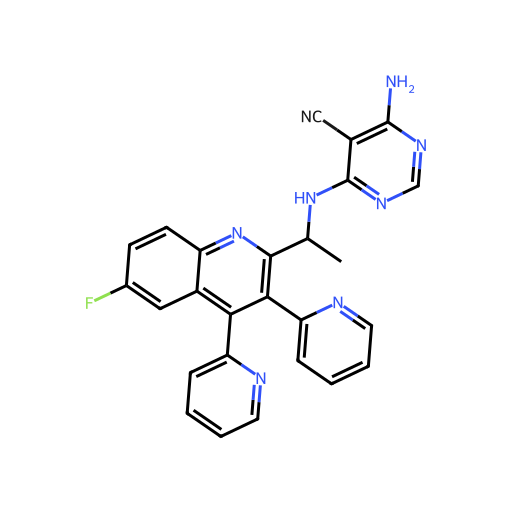 CC(Nc1ncnc(N)c1C#N)c1nc2ccc(F)cc2c(-c2ccccn2)c1-c1ccccn1